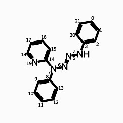 c1ccc(NN=NN(c2ccccc2)c2ccccn2)cc1